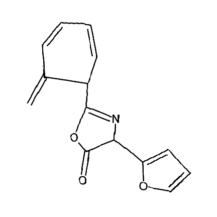 C=C1C=CC=CC1C1=NC(c2ccco2)C(=O)O1